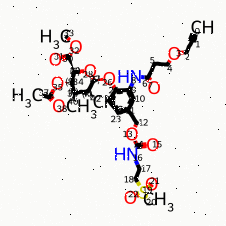 C#CCOCCC(=O)Nc1cc(COC(=O)NCCS(C)(=O)=O)ccc1O[C@@H]1O[C@H](C(=O)OC)[C@@H](OC(C)=O)[C@H](C)[C@H]1C